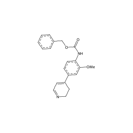 COc1cc(C2=CC=NCC2)ccc1NC(=O)OCc1ccccc1